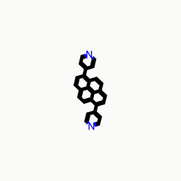 c1cc(-c2ccc3ccc4c(-c5ccncc5)ccc5ccc2c3c54)ccn1